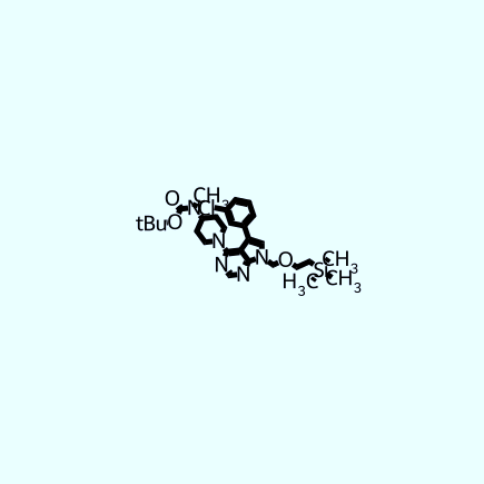 CN(C(=O)OC(C)(C)C)C1CCN(c2ncnc3c2c(-c2cccc(Cl)c2)cn3COCC[Si](C)(C)C)CC1